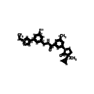 Cc1cc(N2CC[C@@](C)(C3CC3)C2=O)cc(C(=O)NCc2cc(F)cc(-c3cnn(CC(F)(F)F)c3)c2)n1